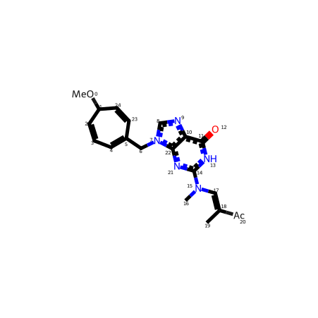 COC1C=CC=C(Cn2cnc3c(=O)[nH]c(N(C)/C=C(\C)C(C)=O)nc32)C=C1